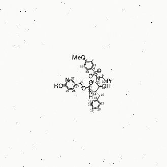 COc1ccc(S(=O)(=O)N(CC(C)C)C[C@@H](O)[C@H](Cc2ccccc2)NC(=O)OCc2ccc(O)nc2)cc1